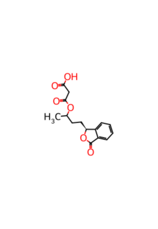 CC(CC[C@@H]1OC(=O)c2ccccc21)OC(=O)CC(=O)O